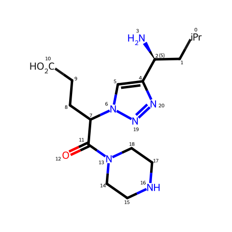 CC(C)C[C@H](N)c1cn(C(CCC(=O)O)C(=O)N2CCNCC2)nn1